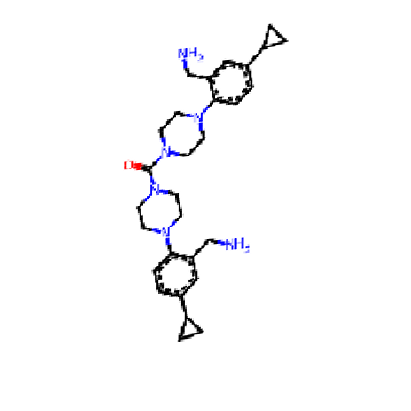 NCc1cc(C2CC2)ccc1N1CCN(C(=O)N2CCN(c3ccc(C4CC4)cc3CN)CC2)CC1